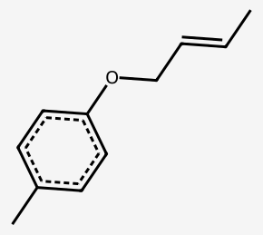 C/C=C/COc1ccc(C)cc1